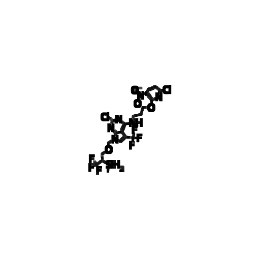 C[SiH2]C(COCn1cc(C(F)(F)F)c2c(NCCCOc3nc(Cl)ccc3[N+](=O)[O-])nc(Cl)nc21)C(F)(F)F